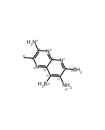 Bc1nc2nc(N)c(C)nc2c(B)c1N